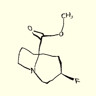 COC(=O)C12CCN1C[C@H](F)C2